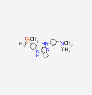 CCN(C)Cc1ccc(Nc2cc(Nc3ccc(P(C)(C)=O)cc3)c3c(n2)CCC3)cc1